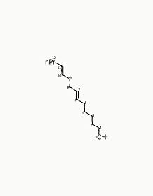 [CH]=CCCCCC=CCCC=CCCC